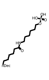 CCCCCCCCCCCCCCCC(=O)NCCCCCCOP(=O)(O)O